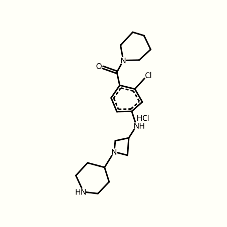 Cl.O=C(c1ccc(NC2CN(C3CCNCC3)C2)cc1Cl)N1CCCCC1